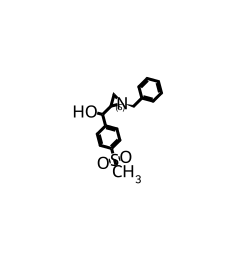 CS(=O)(=O)c1ccc(C(O)C2C[N@@]2Cc2ccccc2)cc1